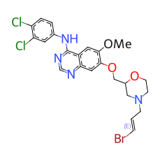 COc1cc2c(Nc3ccc(Cl)c(Cl)c3)ncnc2cc1OCC1CN(C/C=C/Br)CCO1